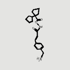 NCc1ccc(/C=C/C(=O)NOC(=O)C2(C3CCCC3)CCCC2)cc1